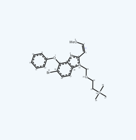 CO/C=C\c1nc2c(Oc3ccccc3)c(Br)ccc2n1COCC[Si](C)(C)C